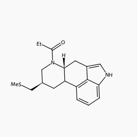 CCC(=O)N1C[C@H](CSC)CC2c3cccc4[nH]cc(c34)C[C@H]21